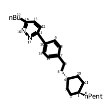 CCCCC[C@H]1CC[C@H](CCc2ccc(-c3ccc(CCCC)nn3)cc2)CC1